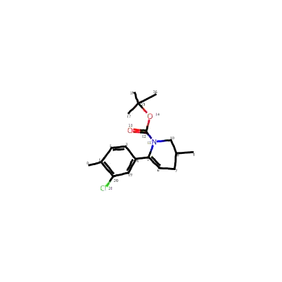 Cc1ccc(C2=CCC(C)CN2C(=O)OC(C)(C)C)cc1Cl